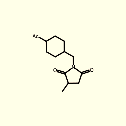 CC(=O)C1CCC(CN2C(=O)CC(C)C2=O)CC1